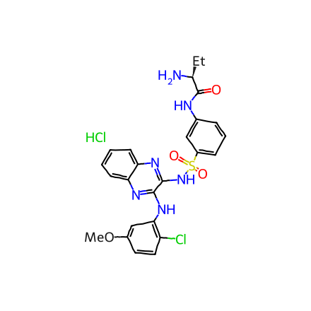 CC[C@H](N)C(=O)Nc1cccc(S(=O)(=O)Nc2nc3ccccc3nc2Nc2cc(OC)ccc2Cl)c1.Cl